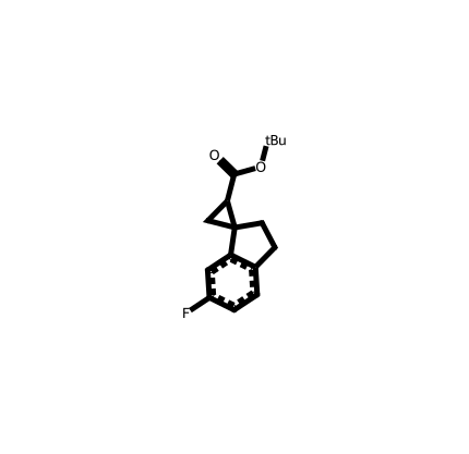 CC(C)(C)OC(=O)C1CC12CCc1ccc(F)cc12